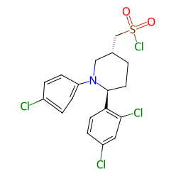 O=S(=O)(Cl)C[C@@H]1CC[C@@H](c2ccc(Cl)cc2Cl)N(c2ccc(Cl)cc2)C1